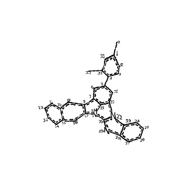 Cc1ccc(-c2cc3c4cc5ccccc5cc4n4c3c(c2)n2c3ccccc3nc24)c(C)c1